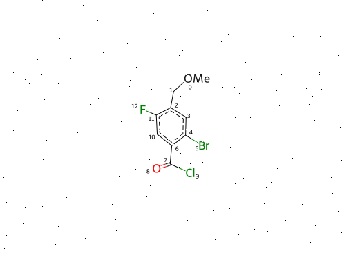 COCc1cc(Br)c(C(=O)Cl)cc1F